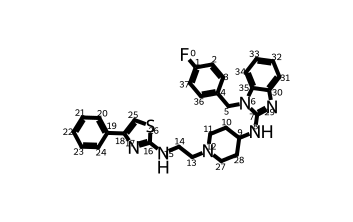 Fc1ccc(Cn2c(NC3CCN(CCNc4nc(-c5ccccc5)cs4)CC3)nc3ccccc32)cc1